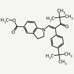 COC(=O)c1ccc2c(c1)CCN2/C=C(/C(=O)C(C)(C)C)c1ccc(C(C)(C)C)cc1